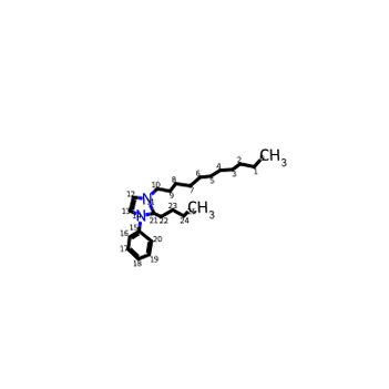 CCCCCCCCCCCN1C=CN(c2ccccc2)C1CCCC